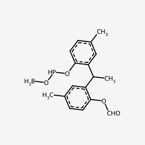 BOPOc1ccc(C)cc1C(C)c1cc(C)ccc1OC=O